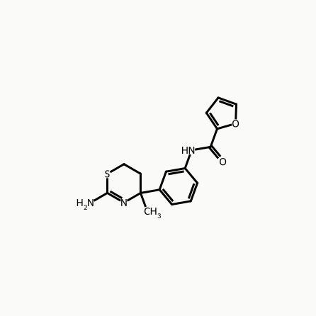 CC1(c2cccc(NC(=O)c3ccco3)c2)CCSC(N)=N1